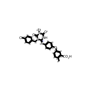 CCn1c(=O)[nH]/c(=N\c2ccc(Oc3ccc(C)c(C(=O)O)c3)cc2)n(Cc2ccc(Cl)cc2)c1=O